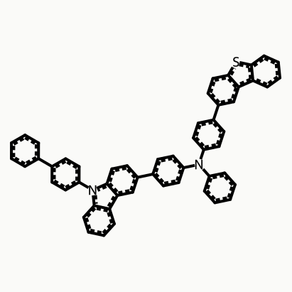 c1ccc(-c2ccc(-n3c4ccccc4c4cc(-c5ccc(N(c6ccccc6)c6ccc(-c7ccc8sc9ccccc9c8c7)cc6)cc5)ccc43)cc2)cc1